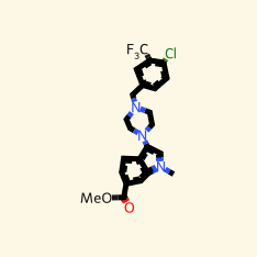 COC(=O)c1ccc2c(N3CCN(Cc4ccc(Cl)c(C(F)(F)F)c4)CC3)cn(C)c2c1